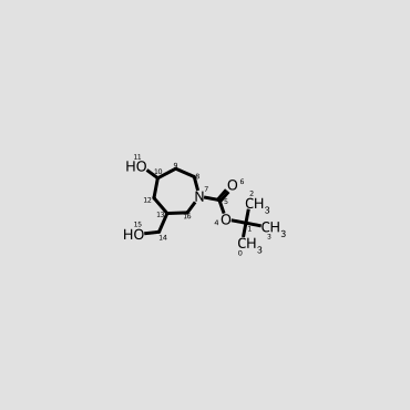 CC(C)(C)OC(=O)N1CCC(O)CC(CO)C1